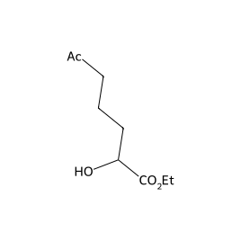 CCOC(=O)C(O)CCCC(C)=O